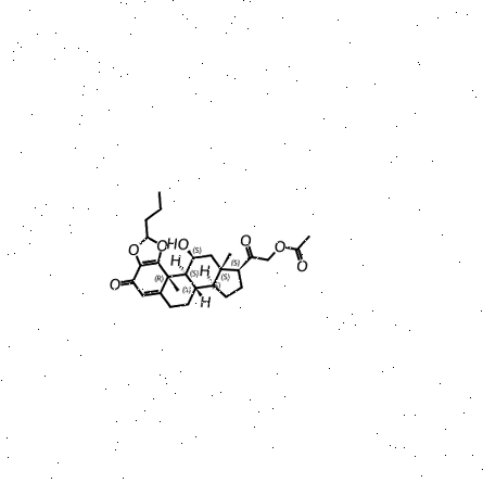 CCCC1OC2=C(O1)[C@@]1(C)C(=CC2=O)CC[C@@H]2[C@@H]1[C@@H](O)C[C@]1(C)[C@@H](C(=O)COC(C)=O)CC[C@@H]21